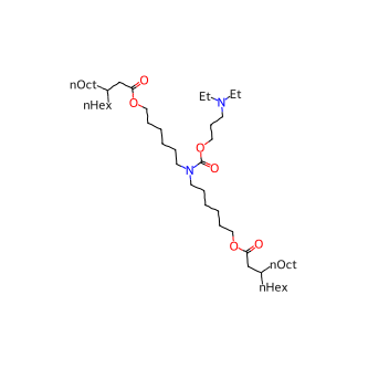 CCCCCCCCC(CCCCCC)CC(=O)OCCCCCCN(CCCCCCOC(=O)CC(CCCCCC)CCCCCCCC)C(=O)OCCCN(CC)CC